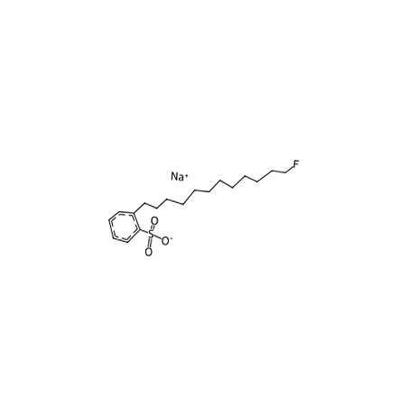 O=S(=O)([O-])c1ccccc1CCCCCCCCCCCCF.[Na+]